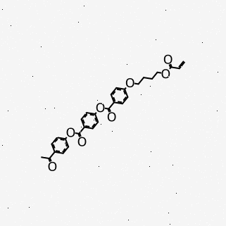 C=CC(=O)OCCCCOc1ccc(C(=O)Oc2ccc(C(=O)Oc3ccc(C(C)=O)cc3)cc2)cc1